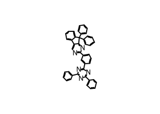 c1ccc(-c2nc(-c3ccccc3)nc(-c3cccc(-c4ncc5c(n4)C(c4ccccc4)(c4ccccc4)c4ccccc4-5)c3)n2)cc1